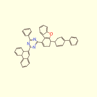 C1=CC2C(c3nc(C4=CCC(C5C=CC(c6ccccc6)=CC5)c5oc6ccccc6c54)nc(-c4ccccc4)n3)=Cc3ccccc3C2C=C1